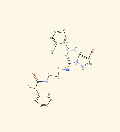 CC(C(=O)NCCCNc1cc(-c2ccccc2Cl)nc2c(Br)cnn12)c1ccccc1